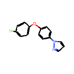 Fc1ccc(Oc2ccc(-n3cccn3)cc2)cc1